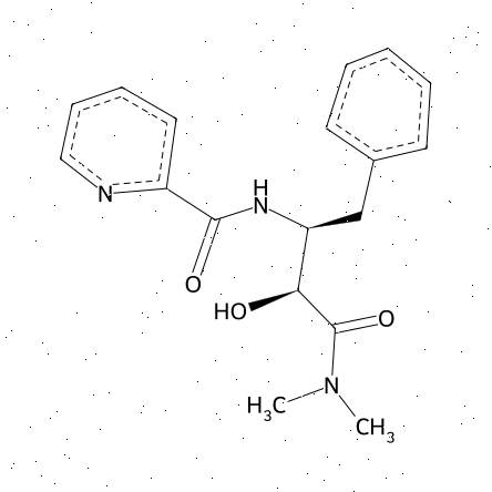 CN(C)C(=O)[C@@H](O)[C@H](Cc1ccccc1)NC(=O)c1ccccn1